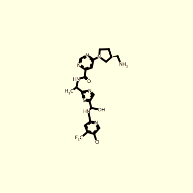 CC(NC(=O)c1cc(N2CC[C@@H](CN)C2)ncn1)c1ncc(C(O)Nc2cc(C(F)(F)F)c(Cl)cn2)s1